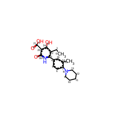 CCc1c(-c2ccc(N3CCCCC3)c(C)c2)[nH]c(=O)c(C(=O)O)c1O